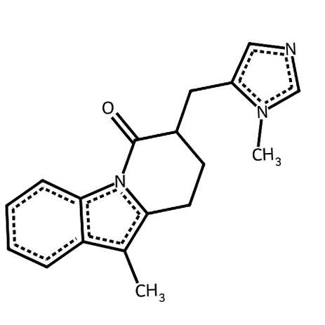 Cc1c2n(c3ccccc13)C(=O)C(Cc1cncn1C)CC2